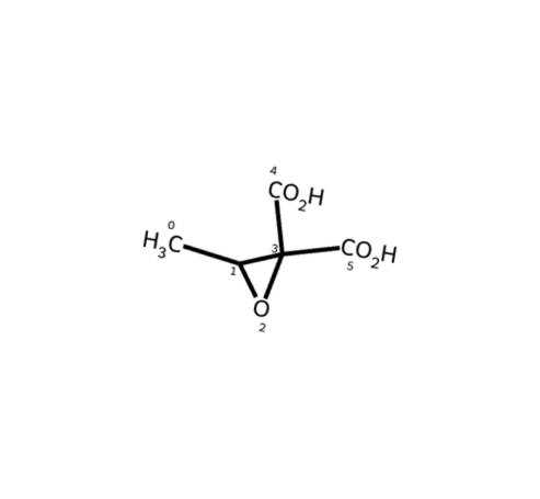 CC1OC1(C(=O)O)C(=O)O